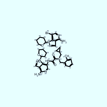 Cc1ccccc1CN(CC1CC1)C(=O)C(=O)Nc1cnc(N)c2cnn(C3CCCCO3)c12.Nc1ncc(Br)c2c1cnn2C1CCCCO1